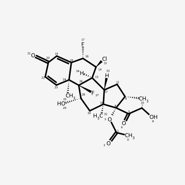 CC(=O)O[C@@]1(C(=O)CO)[C@@H](C)C[C@H]2[C@@H]3[C@H](Cl)[C@@H](F)C4=CC(=O)C=C[C@]4(C)[C@@]3(F)[C@@H](O)C[C@@]21C